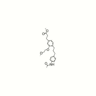 COCCOc1cc(CCC(=O)OC)ccc1CCCc1ccc(NC(C)=O)cc1